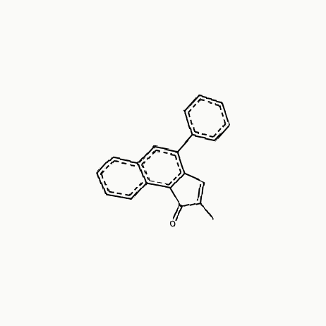 CC1=Cc2c(-c3ccccc3)cc3ccccc3c2C1=O